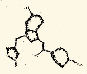 Cn1cc(Cn2cc(/C=C(\C#N)c3ccc(C(=O)O)cc3)c3ccc(Cl)cc32)cn1